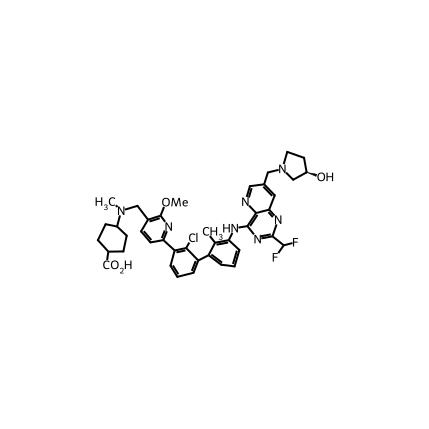 COc1nc(-c2cccc(-c3cccc(Nc4nc(C(F)F)nc5cc(CN6CC[C@@H](O)C6)cnc45)c3C)c2Cl)ccc1CN(C)C1CCC(C(=O)O)CC1